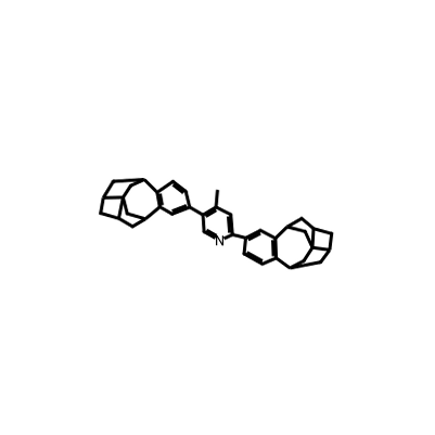 Cc1cc(-c2ccc3c(c2)C2CC4CC5CC3CC54C2)ncc1-c1ccc2c(c1)C1CC3CC4CC2CC43C1